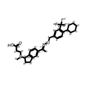 C/C(=N\OCc1ccc(C2CCCCC2)c(C(F)(F)F)c1)c1ccc2c(c1)CCC2N(C)CCC(=O)O